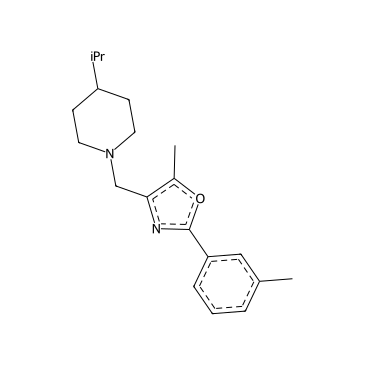 Cc1cccc(-c2nc(CN3CCC(C(C)C)CC3)c(C)o2)c1